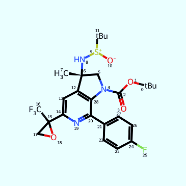 CC(C)(C)OC(=O)N1C[C@@](C)(N[S+]([O-])C(C)(C)C)c2cc(C3(C(F)(F)F)CO3)nc(-c3ccc(F)cc3)c21